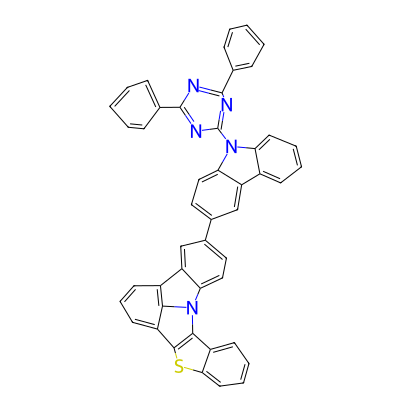 c1ccc(-c2nc(-c3ccccc3)nc(-n3c4ccccc4c4cc(-c5ccc6c(c5)c5cccc7c8sc9ccccc9c8n6c57)ccc43)n2)cc1